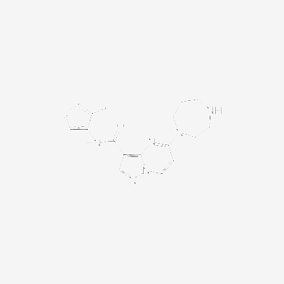 O=C(Nc1cscc1Cl)c1cnn2ccc(N3CCCNCC3)nc12